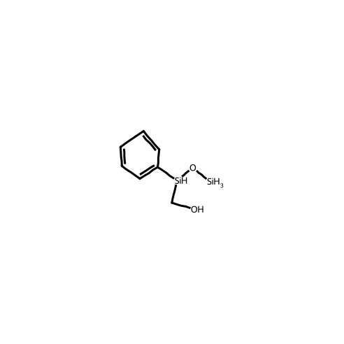 OC[SiH](O[SiH3])c1ccccc1